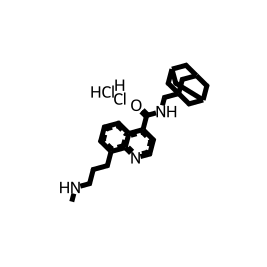 CNCCCc1cccc2c(C(=O)NCC34CC5CC(CC(C5)C3)C4)ccnc12.Cl.Cl